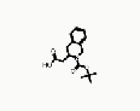 CC(C)(C)OC(=O)N1Cc2ccccc2CC1CC(=O)O